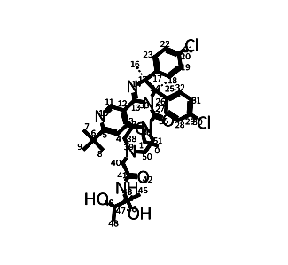 CCOc1cc(C(C)(C)C)ncc1C1=N[C@@](C)(c2ccc(Cl)cc2)[C@@](C)(c2ccc(Cl)cc2)N1C(=O)N1CCN(CC(=O)NC(C)(O)C(C)O)CC1